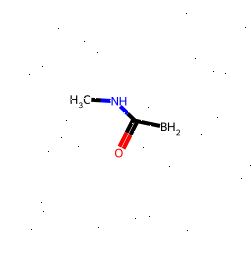 BC(=O)NC